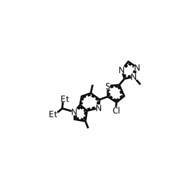 CCC(CC)n1cc(C)c2nc(-c3sc(-c4ncnn4C)cc3Cl)c(C)cc21